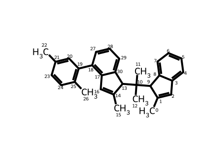 CC1=Cc2ccccc2C1C(C)(C)C1C(C)=Cc2c(-c3cc(C)ccc3C)cccc21